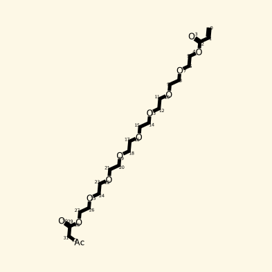 C=CC(=O)OCCOCCOCCOCCOCCOCCOCCOCCOC(=O)CC(C)=O